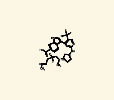 CNCCC(F)(F)CN(C)[C@H]1CC[C@H](Nc2ncc(C(F)(F)F)c(-c3c[nH]c4cc(C(=O)O)ccc34)n2)C1